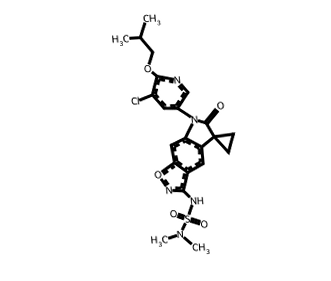 CC(C)COc1ncc(N2C(=O)C3(CC3)c3cc4c(NS(=O)(=O)N(C)C)noc4cc32)cc1Cl